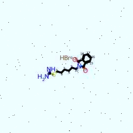 Br.N=C(N)SCCCCCCN1C(=O)c2ccccc2C1=O